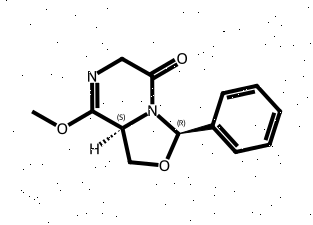 COC1=NCC(=O)N2[C@@H](c3ccccc3)OC[C@@H]12